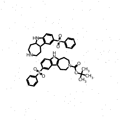 CC(C)(C)OC(=O)N1CCc2[nH]c3ccc(S(=O)(=O)c4ccccc4)cc3c2CC1.O=S(=O)(c1ccccc1)c1ccc2c(c1)C1CCNCCC1N2